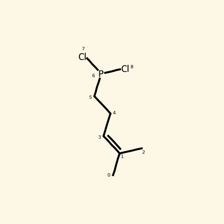 CC(C)=CCCP(Cl)Cl